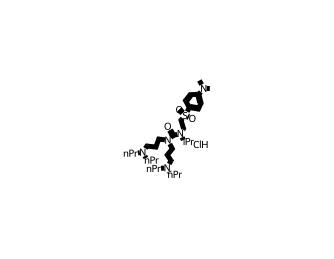 CCCN(CCC)CCCN(CCCN(CCC)CCC)C(=O)N(CCS(=O)(=O)c1ccc(N(C)C)cc1)C(C)C.Cl